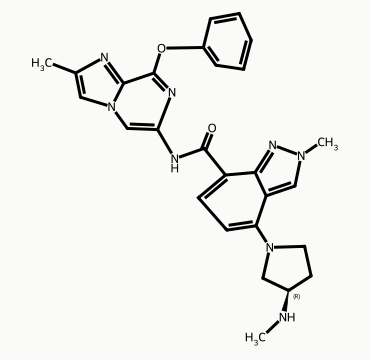 CN[C@@H]1CCN(c2ccc(C(=O)Nc3cn4cc(C)nc4c(Oc4ccccc4)n3)c3nn(C)cc23)C1